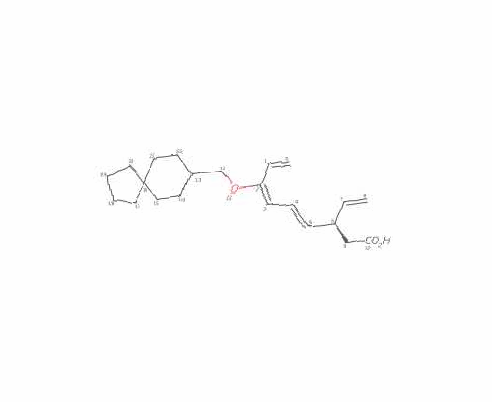 C=C/C(=C\C=C\[C@@H](C=C)CC(=O)O)OCC1CCC2(CCCC2)CC1